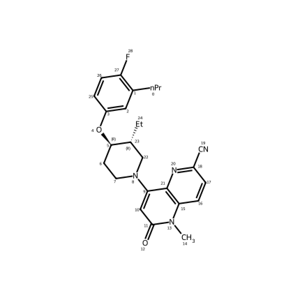 CCCc1cc(O[C@@H]2CCN(c3cc(=O)n(C)c4ccc(C#N)nc34)C[C@H]2CC)ccc1F